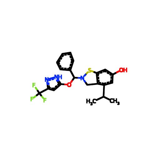 CC(C)c1cc(O)cc2c1CN(C(Oc1cc(C(F)(F)F)n[nH]1)c1ccccc1)S2